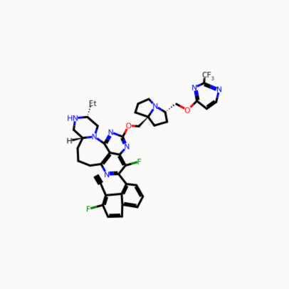 C#Cc1c(F)ccc2cccc(-c3nc4c5c(nc(OC[C@@]67CCCN6[C@H](COc6ccnc(C(F)(F)F)n6)CC7)nc5c3F)N3C[C@@H](CC)NC[C@H]3CCC4)c12